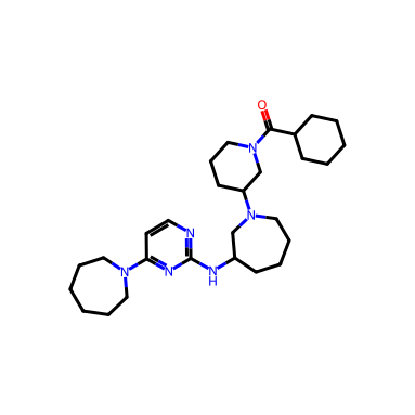 O=C(C1CCCCC1)N1CCCC(N2CCCCC(Nc3nccc(N4CCCCCC4)n3)C2)C1